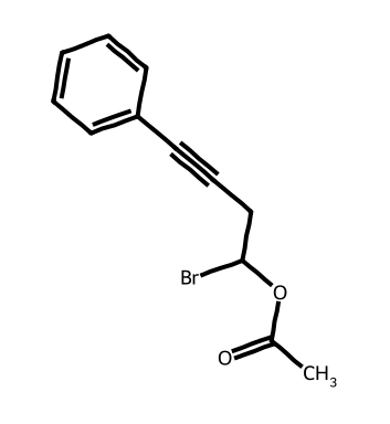 CC(=O)OC(Br)CC#Cc1ccccc1